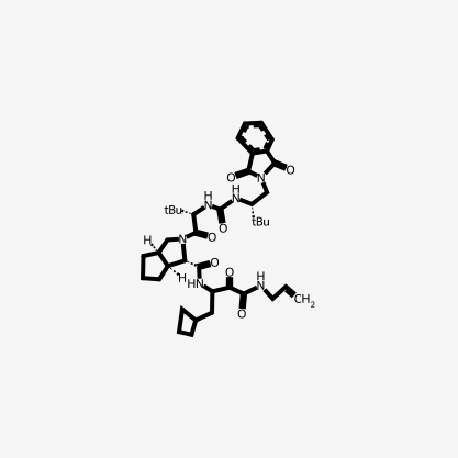 C=CCNC(=O)C(=O)C(CC1CCC1)NC(=O)[C@@H]1[C@H]2CCC[C@H]2CN1C(=O)[C@@H](NC(=O)N[C@H](CN1C(=O)c2ccccc2C1=O)C(C)(C)C)C(C)(C)C